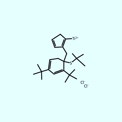 CC(C)(C)SC1(CC2=[C]([Ti+2])CC=C2)CC=C(C(C)(C)C)C=C1C(C)(C)C.[Cl-].[Cl-]